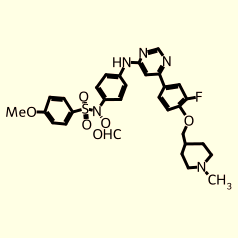 COc1ccc(S(=O)(=O)N(OC=O)c2ccc(Nc3cc(-c4ccc(OCC5CCN(C)CC5)c(F)c4)ncn3)cc2)cc1